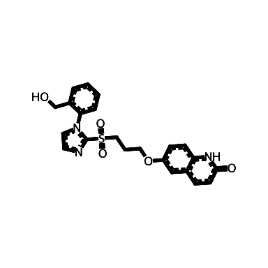 O=c1ccc2cc(OCCCS(=O)(=O)c3nccn3-c3ccccc3CO)ccc2[nH]1